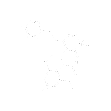 CCc1cc(C)cc(CC)c1C(Oc1c(OCc2ccccc2)cnn(C)c1=O)C(N)=O